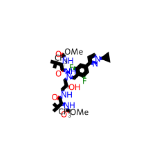 COC(=O)NC(C(=O)NC[C@@H](O)CN(Cc1c(F)cc(-c2ccn(C3CC3)n2)cc1F)NC(=O)[C@@H](NC(=O)OC)C(C)(C)C(F)(F)F)C(C)(C)C(F)(F)F